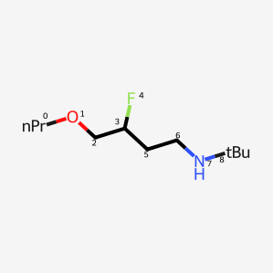 CCCOCC(F)CCNC(C)(C)C